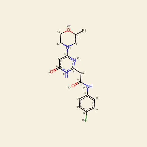 CCC1CN(c2cc(=O)[nH]c(CC(=O)Nc3ccc(F)cc3)n2)CCO1